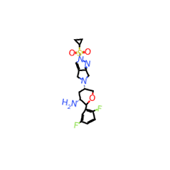 N[C@@H]1C[C@H](N2Cc3cn(S(=O)(=O)C4CC4)nc3C2)COC1c1cc(F)ccc1F